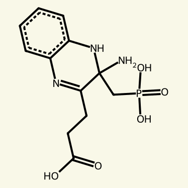 NC1(CP(=O)(O)O)Nc2ccccc2N=C1CCC(=O)O